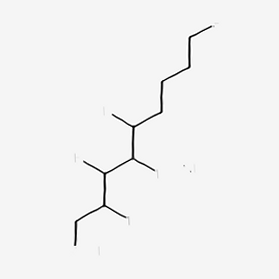 N.O=S(=O)(O)CC(F)C(F)C(F)C(F)CCCCF